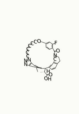 Cc1c2ccc3c1nnn3CCCCCCOc1ccc(c(F)c1)C(=O)N1CCc3ccc(cc3C1)[C@H]2[C@@H](C)C(=O)O